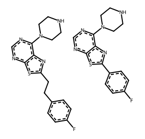 Fc1ccc(-c2nc3c(N4CCNCC4)ncnc3s2)cc1.Fc1ccc(CCc2nc3c(N4CCNCC4)ncnc3s2)cc1